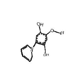 CCOc1cc(O)c(N2C=CC=CC2)cc1O